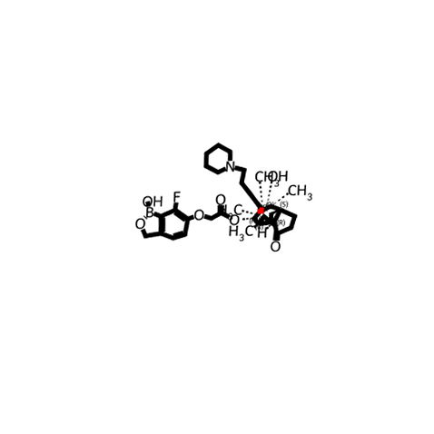 C[C@@H]1CC[C@@]23CCC(=O)[C@H]2[C@]1(C)[C@H](OC(=O)COc1ccc2c(c1F)B(O)OC2)C[C@@](C)(CCN1CCCCC1)[C@@H](O)[C@@H]3C